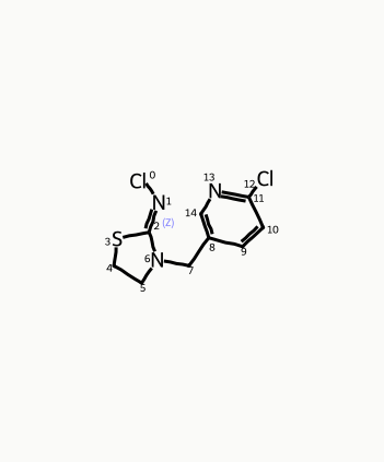 Cl/N=C1\SCCN1Cc1ccc(Cl)nc1